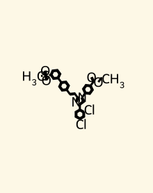 CCOC(=O)c1ccc(-n2cc(-c3ccc(Cl)cc3Cl)nc2/C=C/c2ccc(-c3cccc(S(C)(=O)=O)c3)cc2)cc1